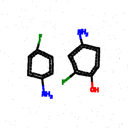 Nc1ccc(F)cc1.Nc1ccc(O)c(F)c1